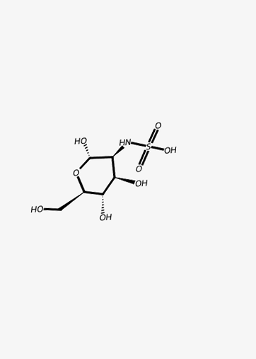 O=S(=O)(O)N[C@H]1[C@@H](O)[C@H](O)[C@@H](CO)O[C@@H]1O